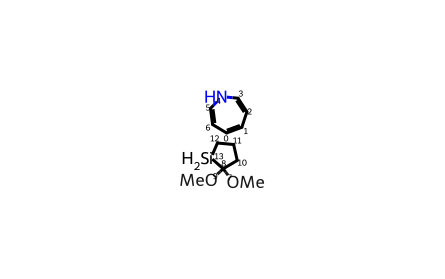 C1=CC=CNC=C1.COC1(OC)CCC[SiH2]1